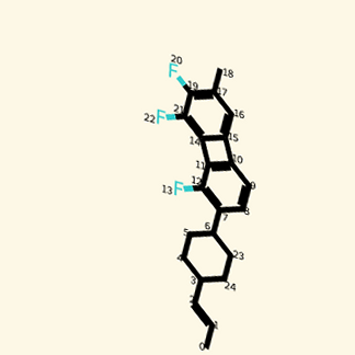 C/C=C/C1CCC(c2ccc3c(c2F)-c2c-3cc(C)c(F)c2F)CC1